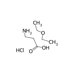 CCOCC.Cl.NCCC(=O)O